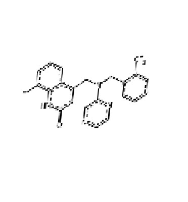 O=c1cc(CN(Cc2ccccc2C(F)(F)F)c2cnccn2)c2cccc(F)c2[nH]1